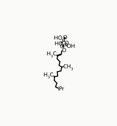 CC(=CCOP(=O)(O)OP(=O)(O)O)CCCC(C)CCCC(C)CCCC(C)C